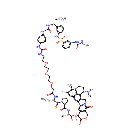 CCCNC(=O)Nc1cccc(S(=O)(=O)Nc2cccc([C@@H](CC(=O)O)NC(=O)Nc3ccc(NC(=O)NCCOCCOCCOCCC(=O)N[C@@H](CC(=O)O)C(=O)N4CCC[C@H]4C(=O)N[C@H](C(=O)O[C@]4(CC)C(=O)OCc5c4cc4n(c5=O)Cc5c-4nc4cc(F)c(C)c6c4c5[C@@H](N(CC)CC)CC6)C(C)C)cc3)c2)c1